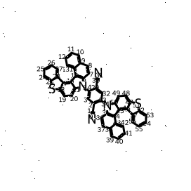 N#Cc1cc(-n2c3ccc4ccccc4c3c3c4c(ccc32)sc2ccccc24)c(C#N)cc1-n1c2ccc3ccccc3c2c2c3c(ccc21)sc1ccccc13